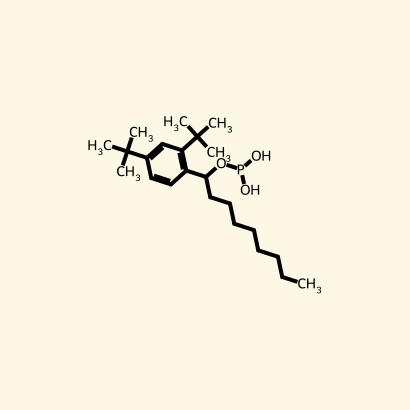 CCCCCCCCC(OP(O)O)c1ccc(C(C)(C)C)cc1C(C)(C)C